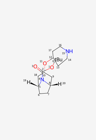 CC(C)(C)OC(=O)N1[C@@H]2CC[C@H]1C[C@@H](OC1CCNCC1)C2